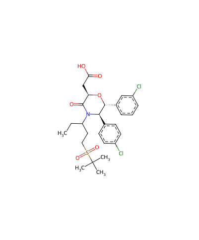 CCC(CCS(=O)(=O)C(C)(C)C)N1C(=O)[C@@H](CC(=O)O)O[C@H](c2cccc(Cl)c2)[C@H]1c1ccc(Cl)cc1